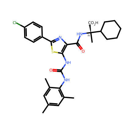 Cc1cc(C)c(NC(=O)Nc2sc(-c3ccc(Cl)cc3)nc2C(=O)N[C@](C)(C(=O)O)C2CCCCC2)c(C)c1